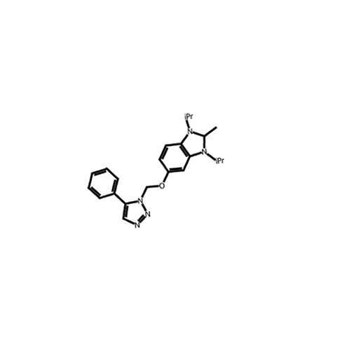 CC(C)N1c2ccc(OCn3nncc3-c3ccccc3)cc2N(C(C)C)C1C